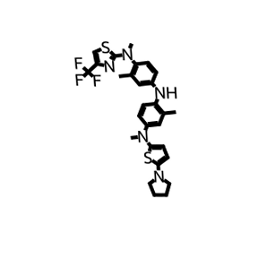 Cc1cc(N(C)c2ccc(N3CCCC3)s2)ccc1Nc1ccc(N(C)c2nc(C(F)(F)F)cs2)c(C)c1